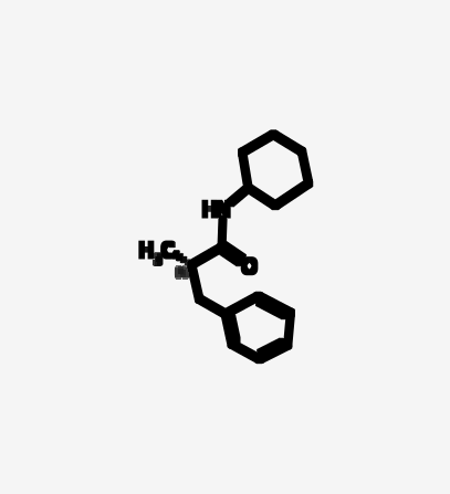 C[C@@H](Cc1ccccc1)C(=O)NC1CCCCC1